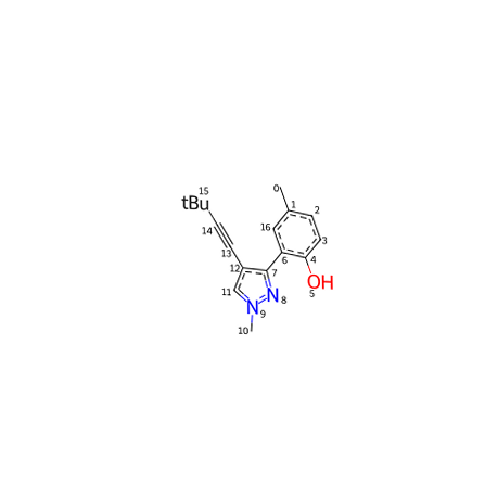 Cc1ccc(O)c(-c2nn(C)cc2C#CC(C)(C)C)c1